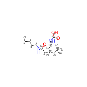 CCCCCNC(=O)CC1(C)CC(NC(=O)O)CC(C)(C)C1